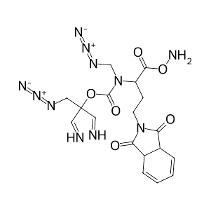 [N-]=[N+]=NCN(C(=O)OC(C=N)(C=N)CN=[N+]=[N-])C(CCN1C(=O)C2C=CC=CC2C1=O)C(=O)ON